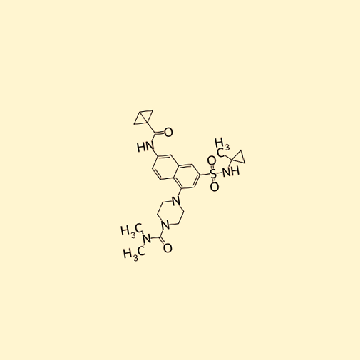 CN(C)C(=O)N1CCN(c2cc(S(=O)(=O)NC3(C)CC3)cc3cc(NC(=O)C45CC4C5)ccc23)CC1